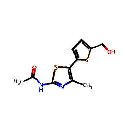 CC(=O)Nc1nc(C)c(-c2ccc(CO)s2)s1